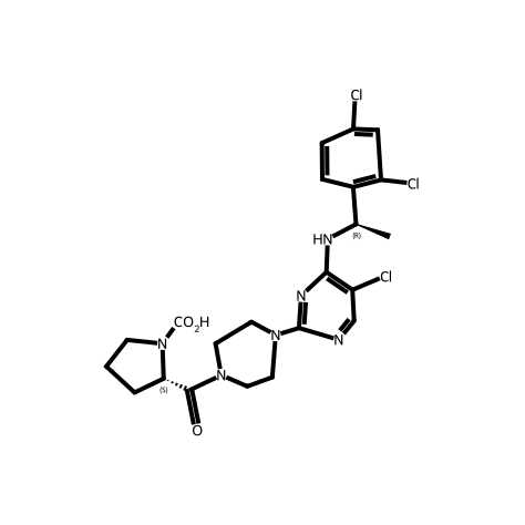 C[C@@H](Nc1nc(N2CCN(C(=O)[C@@H]3CCCN3C(=O)O)CC2)ncc1Cl)c1ccc(Cl)cc1Cl